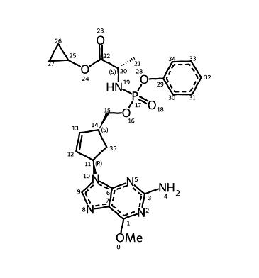 COc1nc(N)nc2c1ncn2[C@H]1C=C[C@@H](COP(=O)(N[C@@H](C)C(=O)OC2CC2)Oc2ccccc2)C1